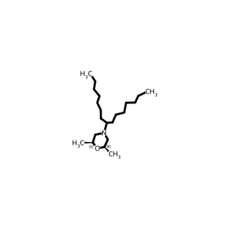 CCCCCCCC(CCCCCCC)N1C[C@@H](C)O[C@@H](C)C1